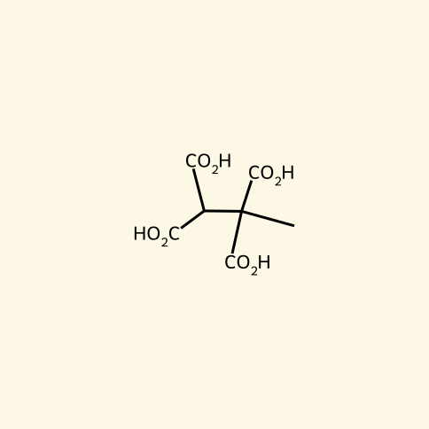 CC(C(=O)O)(C(=O)O)C(C(=O)O)C(=O)O